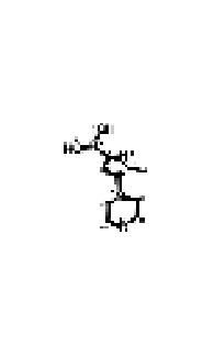 Cn1nc(B(O)O)cc1N1CCOCC1